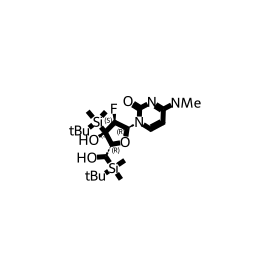 CNc1ccn([C@@H]2O[C@H](C(O)[Si](C)(C)C(C)(C)C)[C@](O)([Si](C)(C)C(C)(C)C)[C@H]2F)c(=O)n1